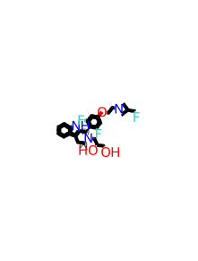 C[C@@H]1Cc2c([nH]c3ccccc23)[C@@H](c2c(F)cc(OCCN3CC(CF)C3)cc2F)N1CC(O)CO